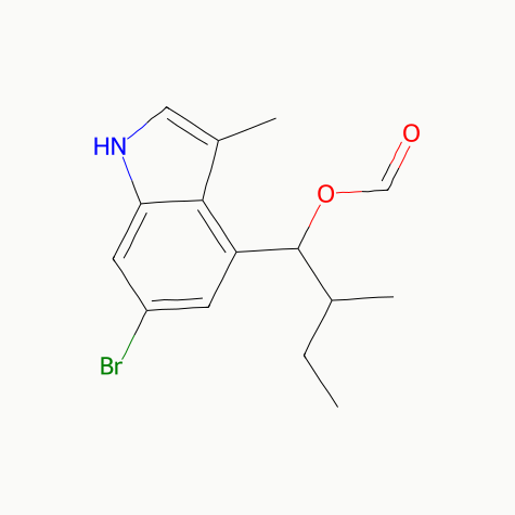 CCC(C)C(OC=O)c1cc(Br)cc2[nH]cc(C)c12